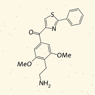 COc1cc(C(=O)c2csc(-c3ccccc3)n2)cc(OC)c1CCN